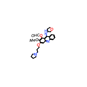 COc1c(OCCCN2CCCC2)cc2nc3ccccc3c(N[C@H]3CCOC3)c2c1OC=O